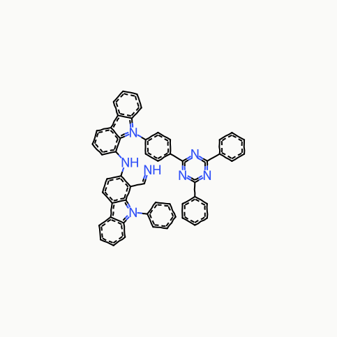 N=Cc1c(Nc2cccc3c4ccccc4n(-c4ccc(-c5nc(-c6ccccc6)nc(-c6ccccc6)n5)cc4)c23)ccc2c3ccccc3n(-c3ccccc3)c12